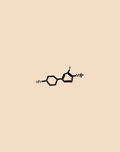 CCCC1CCC(c2cc[c]([Mg][Br])c(F)c2)CC1